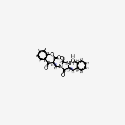 O=C1Oc2ccccc2C(=O)/C1=C/N1C(=O)N/C(=C\c2ccccc2O)C1=O